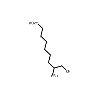 CCCCCCCCCCCCCCC(C[O])CCCC